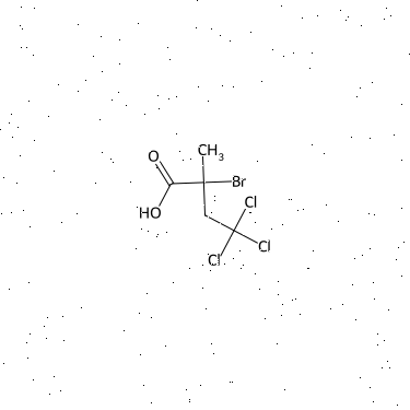 CC(Br)(CC(Cl)(Cl)Cl)C(=O)O